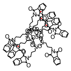 O=C1C2C3C=CC(C3)C2C(=O)N1CCC[Si]12O[Si]3(CCCN4C(=O)C5C6C=CC(C6)C5C4=O)O[Si]4(CCCN5C(=O)C6C7C=CC(C7)C6C5=O)O[Si](CCCN5C(=O)C6C7C=CC(C7)C6C5=O)(O1)O[Si]1(CCCN5C(=O)C6C7C=CC(C7)C6C5=O)O[Si](CCCN5C(=O)C6C7C=CC(C7)C6C5=O)(O2)O[Si](CCCN2C(=O)C5C6C=CC(C6)C5C2=O)(O3)O[Si](CCCN2C(=O)C3C5C=CC(C5)C3C2=O)(O4)O1